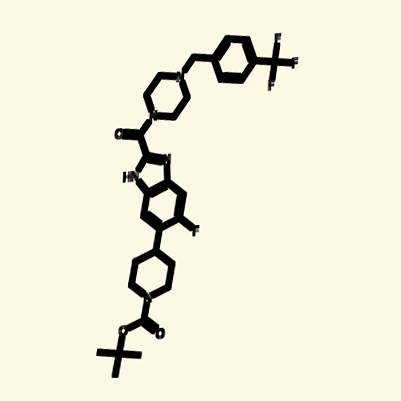 CC(C)(C)OC(=O)N1CCC(c2cc3[nH]c(C(=O)N4CCN(Cc5ccc(C(F)(F)F)cc5)CC4)nc3cc2F)CC1